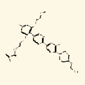 C=C(C)C(=O)OCCOc1cc(C)cc(OCCOC)c1-c1ccc(-c2ccc(C3CCC(CCO)CC3)c(F)c2)cc1